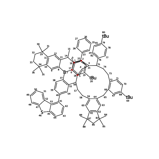 Cc1cc2cc3c1B(c1cc4c(cc1C(C)c1ccc(C(C)(C)C)cc1-c1ccccc1)C(C)(C)CCC4(C)C)c1ccc(-c4cccc5sc6ccccc6c45)cc1C3CCc1cc3c(cc1Cc1cc(C(C)(C)C)ccc1CCC2c1ccc(C(C)(C)C)cc1)C(C)(C)CC3(C)C